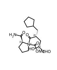 COC(=O)[N+]1(C(=O)[C@H](CC2CCCC2)CN(O)C=O)CCC[C@H]1C(N)=O